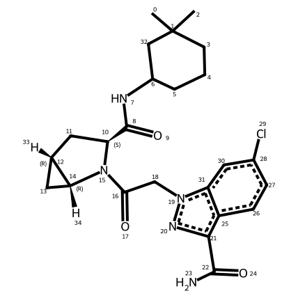 CC1(C)CCCC(NC(=O)[C@@H]2C[C@H]3C[C@H]3N2C(=O)Cn2nc(C(N)=O)c3ccc(Cl)cc32)C1